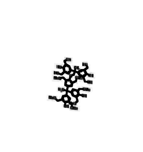 COCc1cc(C(C)(c2cc(COC)c(O)c(COC)c2)c2cc(COC)c(OCC(C)(c3cc(CO)c(O)c(CO)c3)c3cc(CO)c(O)c(CO)c3)c(COC)c2)cc(COC)c1O